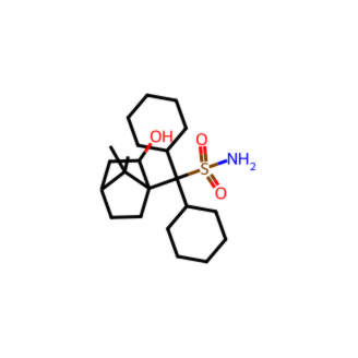 CC1(C)C2CCC1(C(C1CCCCC1)(C1CCCCC1)S(N)(=O)=O)C(O)C2